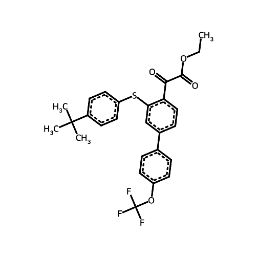 CCOC(=O)C(=O)c1ccc(-c2ccc(OC(F)(F)F)cc2)cc1Sc1ccc(C(C)(C)C)cc1